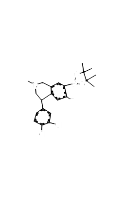 CN1Cc2cc(B3OC(C)(C)C(C)(C)O3)c(F)cc2C(c2ccc(Cl)c(Cl)c2)C1